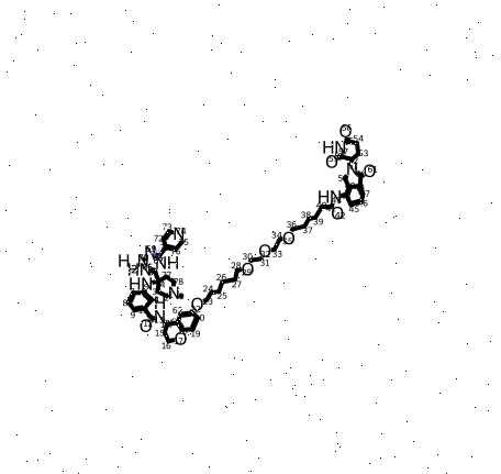 CN1CCC(Nc2cccc(C(=O)N[C@@H]3CCOc4ccc(OCCCCCCOCCOCCOCCCCCC(=O)Nc5cccc6c5CN(C5CCC(=O)NC5=O)C6=O)cc43)c2)(C(=N)N/C(=N\N)c2ccncc2)CC1